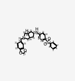 O=S(=O)(c1ccccc1)c1ccc(N[C@@H]2CC3CN(Cc4ccc5c(c4)OCO5)C[C@H]3C2)nn1